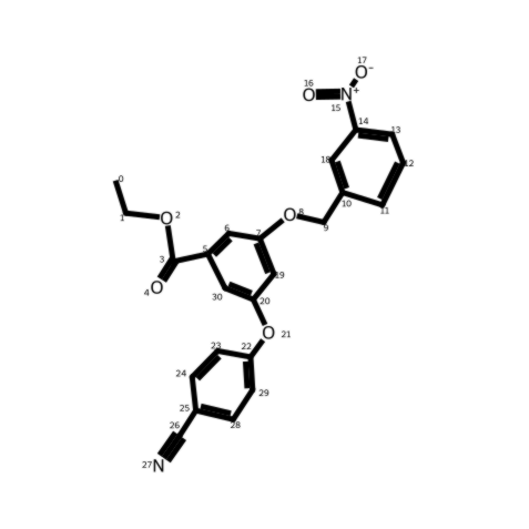 CCOC(=O)c1cc(OCc2cccc([N+](=O)[O-])c2)cc(Oc2ccc(C#N)cc2)c1